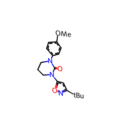 COc1ccc(N2CCCN(c3cc(C(C)(C)C)no3)C2=O)cc1